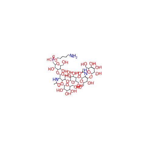 CC(=O)NC1C(OC2C(CO)OC(OC3C(CO)OC(OC4C(O)C(CO)OC(CP(=O)(O)OCCCCCN)C4O)C(NC(C)=O)C3OC3OC(CO)C(O)C(O)C3O)C(O)C2O)OC(CO)C(O)C1OC1OC(CO)C(O)C(O)C1O